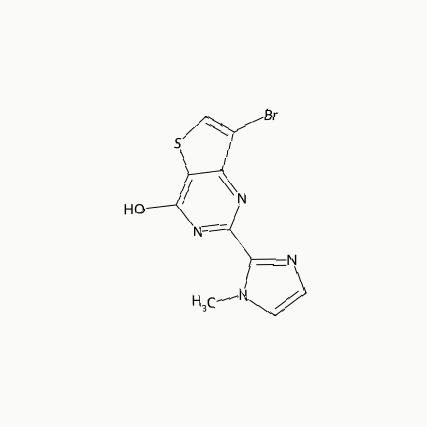 Cn1ccnc1-c1nc(O)c2scc(Br)c2n1